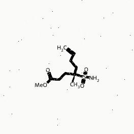 C=CCC[C@@](C)(CCC(=O)OC)S(N)(=O)=O